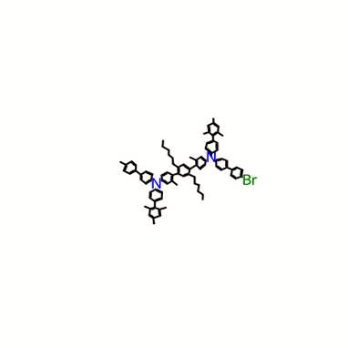 CCCCCCc1cc(-c2ccc(N(c3ccc(-c4ccc(Br)cc4)cc3)c3ccc(-c4c(C)cc(C)cc4C)cc3)cc2C)c(CCCCCC)cc1-c1ccc(N(c2ccc(-c3ccc(C)cc3)cc2)c2ccc(-c3c(C)cc(C)cc3C)cc2)cc1C